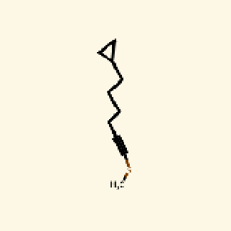 CSC#CCCCCC1[CH]C1